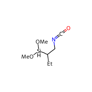 CCC(CN=C=O)[SiH](OC)OC